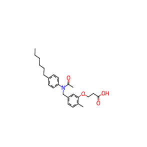 CCCCCCc1ccc(N(Cc2ccc(C)c(OCCC(=O)O)c2)C(C)=O)cc1